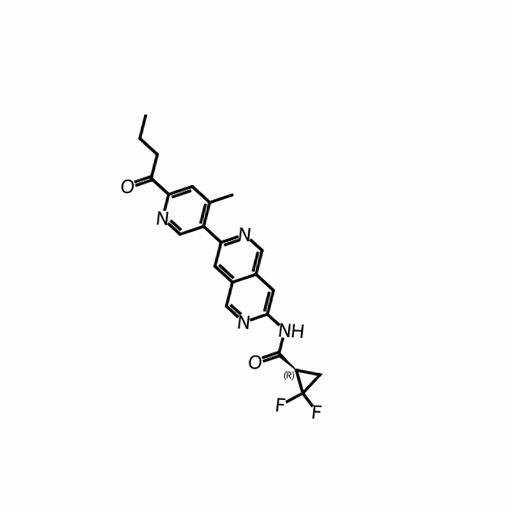 CCCC(=O)c1cc(C)c(-c2cc3cnc(NC(=O)[C@H]4CC4(F)F)cc3cn2)cn1